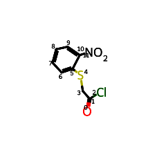 O=C(Cl)CSc1ccccc1[N+](=O)[O-]